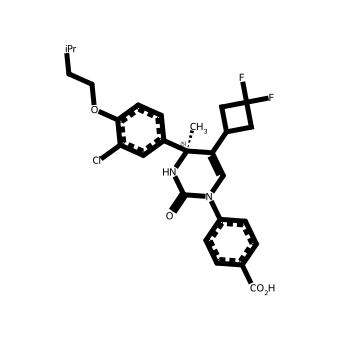 CC(C)CCOc1ccc([C@]2(C)NC(=O)N(c3ccc(C(=O)O)cc3)C=C2C2CC(F)(F)C2)cc1Cl